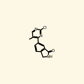 Cc1cnc(Cl)nc1-c1ccc2c(c1)C(=O)NC2